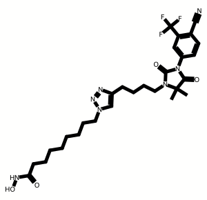 CC1(C)C(=O)N(c2ccc(C#N)c(C(F)(F)F)c2)C(=O)N1CCCCc1cn(CCCCCCCCC(=O)NO)nn1